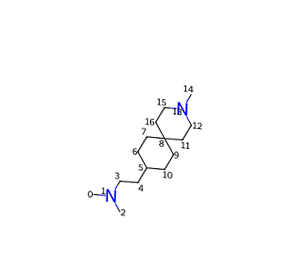 CN(C)CCC1CCC2(CC1)CCN(C)CC2